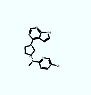 CN(c1ncc(C#N)cn1)[C@@H]1CCN(c2ncnc3[nH]ccc23)C1